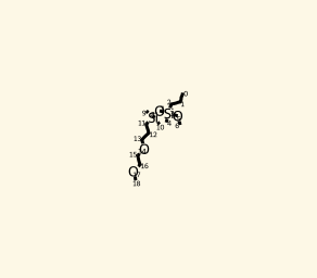 CCC[Si](C)(OC)O[Si](C)(C)CCCOCCOC